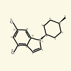 C[C@H]1CC[C@@H](n2ccc3c(Cl)cc(Cl)cc32)CC1